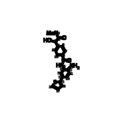 CNC(=O)C(O)c1ccc(C(=O)Nc2cc(-c3cccs3)ccc2N)cc1